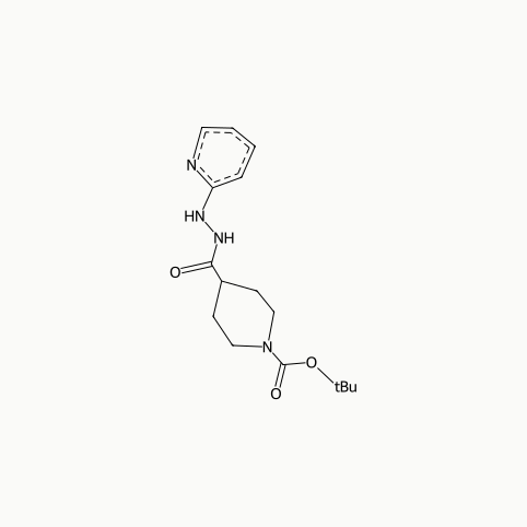 CC(C)(C)OC(=O)N1CCC(C(=O)NNc2ccccn2)CC1